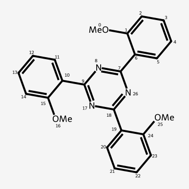 COc1ccccc1-c1nc(-c2ccccc2OC)nc(-c2ccccc2OC)n1